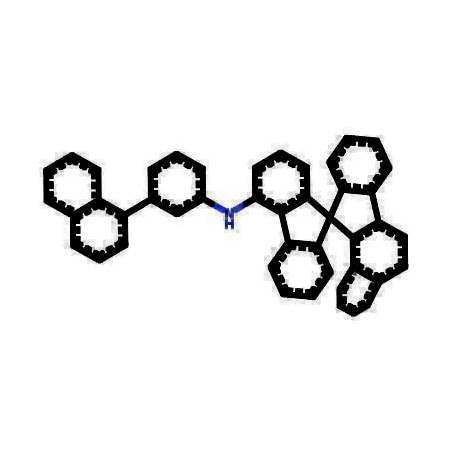 c1cc(Nc2cccc3c2-c2ccccc2C32c3ccccc3-c3ccc4ccccc4c32)cc(-c2cccc3ccccc23)c1